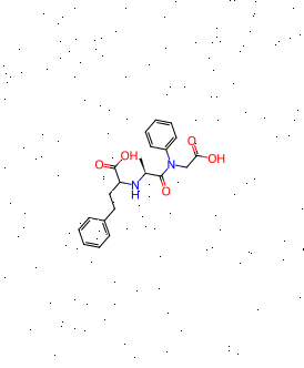 C[C@H](NC(CCc1ccccc1)C(=O)O)C(=O)N(CC(=O)O)c1ccccc1